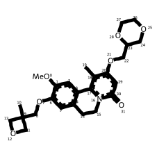 COc1cc2c(cc1OCC1(C)COC1)CCn1c-2c(C)c(OCC2COCCO2)cc1=O